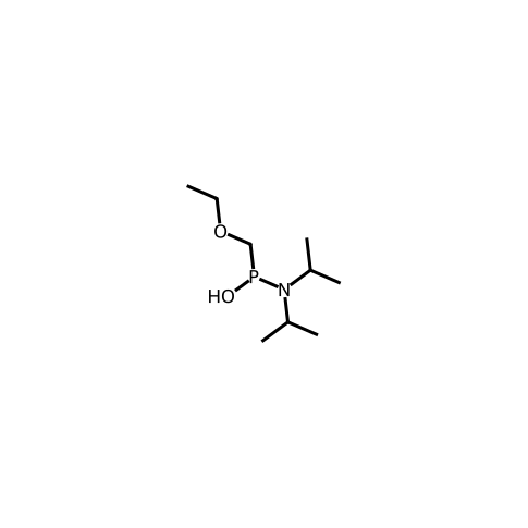 CCOCP(O)N(C(C)C)C(C)C